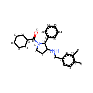 Cc1ccc(CNC2CCN(C(=O)C3CCCCC3)C2c2ccccc2)cc1C